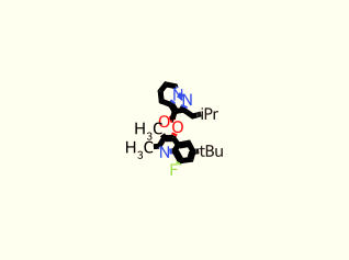 Cc1nc2c(F)cc(C(C)(C)C)cc2c(OC(=O)c2c(CC(C)C)nn3c2CCCC3)c1C